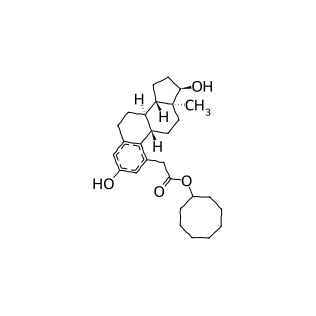 C[C@]12CC[C@@H]3c4c(cc(O)cc4CC(=O)OC4CCCCCCC4)CC[C@H]3[C@@H]1CC[C@H]2O